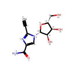 C#Cc1nc(C(N)=O)cn1[C@@H]1O[C@H](CO)[C@@H](O)[C@H]1O